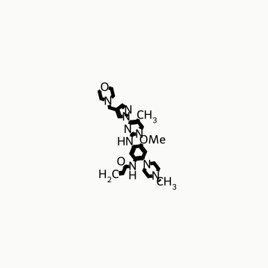 C=CC(=O)Nc1cc(Nc2ncc(C)c(-n3cc(CN4CCOCC4)cn3)n2)c(OC)cc1N1CCN(C)CC1